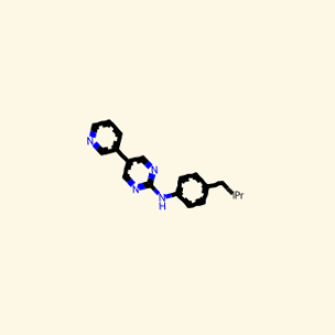 CC(C)Cc1ccc(Nc2ncc(-c3cccnc3)cn2)cc1